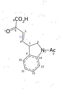 CC(=O)N1CC(/C=C/C(=O)C(=O)O)c2ccccc21